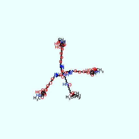 CC(=O)N[C@H]1[C@@H]2OC[C@](COCCOCCOCCOCCn3cc(COCC(COCc4cn(CCOCCOCCOCCOC[C@@]56CO[C@H](O5)[C@H](NC(C)=O)[C@@H](O)[C@H]6O)nn4)(COCc4cn(CCOCCOCCOCCOC[C@@]56CO[C@@H](O5)[C@H](NC(C)=O)[C@@H](O)[C@H]6O)nn4)NC(=O)CCCCCNC(=O)CCCCCC4OC(C)(C)C(C)(C)O4)nn3)(O2)[C@H](O)[C@@H]1O